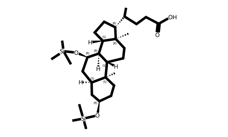 CC(CCC(=O)O)[C@H]1CC[C@H]2[C@@H]3[C@H](O[Si](C)(C)C)C[C@@H]4C[C@H](O[Si](C)(C)C)CC[C@]4(C)[C@H]3CC[C@]12C